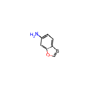 Nc1ccc2bcoc2c1